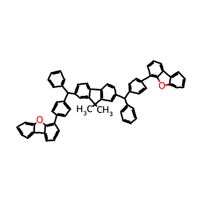 CC1(C)c2cc(C(c3ccccc3)c3ccc(-c4cccc5c4oc4ccccc45)cc3)ccc2-c2ccc(C(c3ccccc3)c3ccc(-c4cccc5c4oc4ccccc45)cc3)cc21